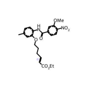 CCOC(=O)/C=C/CCCOc1cc(C)ccc1NC(=O)c1ccc([N+](=O)[O-])c(OC)c1